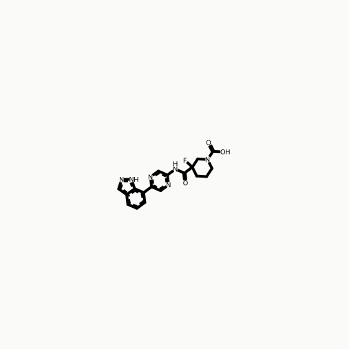 O=C(O)N1CCCC(F)(C(=O)Nc2cnc(-c3cccc4cn[nH]c34)cn2)C1